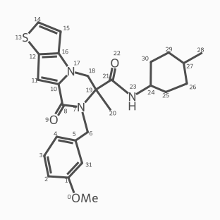 COc1cccc(CN2C(=O)c3cc4sccc4n3CC2(C)C(=O)NC2CCC(C)CC2)c1